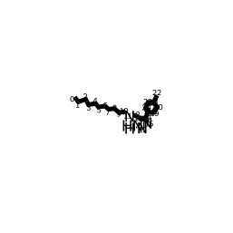 CCCCCCCCCCCNCc1[nH]nnc1-c1ccc(C)cc1